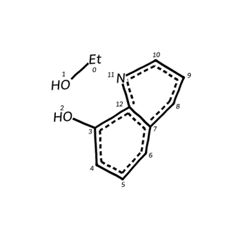 CCO.Oc1cccc2cccnc12